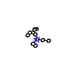 c1ccc(-c2ccc(-c3nc(-c4ccc5c(c4)-c4c(ccc6ccccc46)C54C5CC6CC(C5)CC4C6)nc(-c4cccc5ccccc45)n3)cc2)cc1